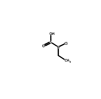 CCN(Cl)S(=O)O